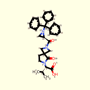 CC(C)[C@@H](C(=O)O)N1CCC2(CN(C(=O)[C@H]3CN3C(c3ccccc3)(c3ccccc3)c3ccccc3)C2)C1=O